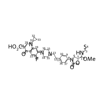 COC(NC=S)[C@@H]1CN(c2ccc(CCN3CCN(c4cc5c(cc4F)c(=O)c(C(=O)O)cn5C4CC4)CC3)cc2)C(=O)O1